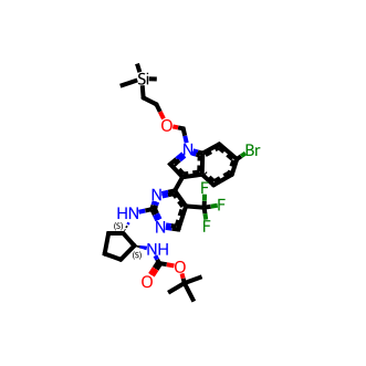 CC(C)(C)OC(=O)N[C@H]1CCC[C@@H]1Nc1ncc(C(F)(F)F)c(-c2cn(COCC[Si](C)(C)C)c3cc(Br)ccc23)n1